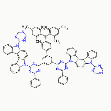 Cc1cc(C)c(B(c2ccc(-c3cc(-c4nc(-c5ccccc5)nc(-n5c6ccccc6c6c7c8ccccc8n(-c8ncncn8)c7ccc65)n4)cc(-c4nc(-c5ccccc5)nc(-n5c6ccccc6c6c7c8ccccc8n(-c8ncncn8)c7ccc65)n4)c3)cc2)c2c(C)cc(C)cc2C)c(C)c1